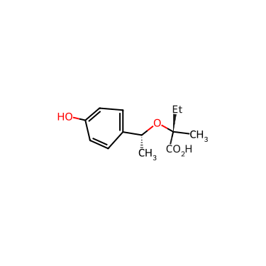 CC[C@](C)(O[C@H](C)c1ccc(O)cc1)C(=O)O